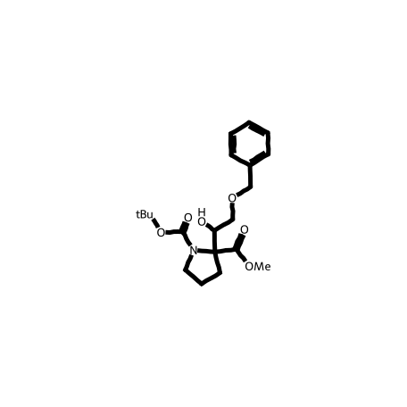 COC(=O)C1(C(O)COCc2ccccc2)CCCN1C(=O)OC(C)(C)C